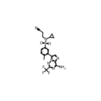 Cc1ccc(S(=O)(=O)N(CCC#N)C2CC2)cc1-c1cnc2c(N)nc(C(F)(F)F)nn12